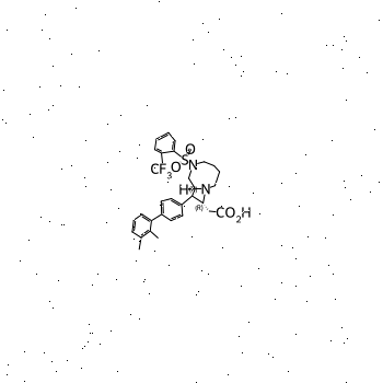 Cc1cccc(-c2ccc(C3[C@@H](CC(=O)O)N4CCCCN(S(=O)(=O)c5ccccc5C(F)(F)F)C[C@@H]34)cc2)c1C